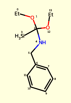 CCOC([SiH3])(NCc1ccccc1)OCC